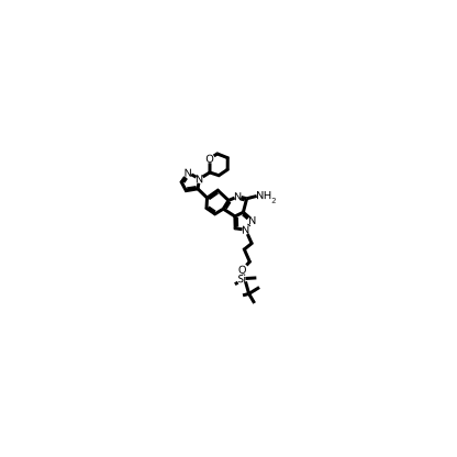 CC(C)(C)[Si](C)(C)OCCCn1cc2c(n1)c(N)nc1cc(-c3ccnn3C3CCCCO3)ccc12